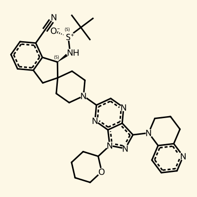 CC(C)(C)[S@@+]([O-])N[C@@H]1c2c(C#N)cccc2CC12CCN(c1cnc3c(N4CCCc5ncccc54)nn(C4CCCCO4)c3n1)CC2